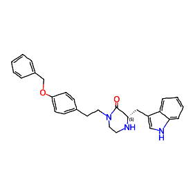 O=C1[C@H](Cc2c[nH]c3ccccc23)NCCN1CCc1ccc(OCc2ccccc2)cc1